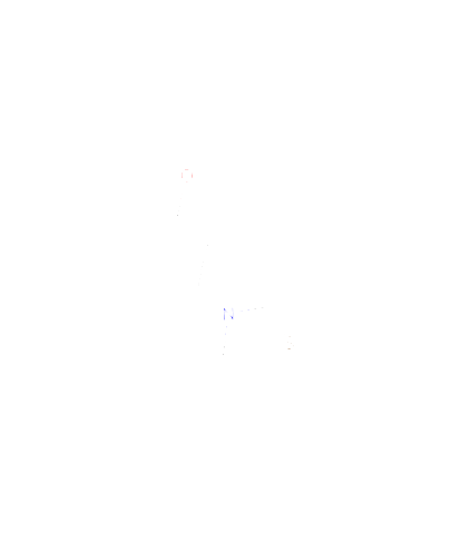 [O]CCCN1CCSC1